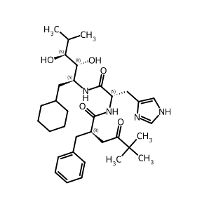 CC(C)[C@H](O)[C@H](O)[C@H](CC1CCCCC1)NC(=O)[C@H](Cc1c[nH]cn1)NC(=O)[C@@H](CC(=O)C(C)(C)C)Cc1ccccc1